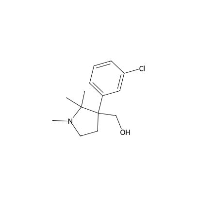 CN1CCC(CO)(c2cccc(Cl)c2)C1(C)C